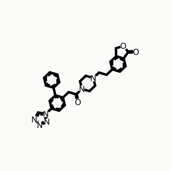 O=C1OCc2cc(CCN3CCN(C(=O)Cc4ccc(-n5cnnn5)cc4-c4ccccc4)CC3)ccc21